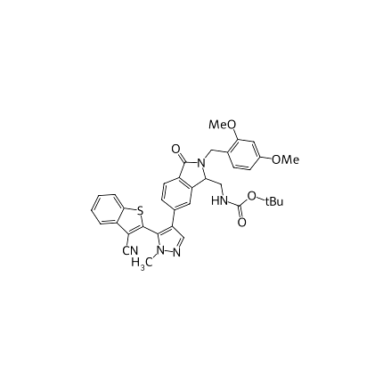 COc1ccc(CN2C(=O)c3ccc(-c4cnn(C)c4-c4sc5ccccc5c4C#N)cc3C2CNC(=O)OC(C)(C)C)c(OC)c1